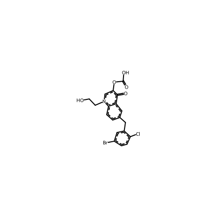 O=C(O)Oc1cn(CCO)c2ccc(Cc3cc(Br)ccc3Cl)cc2c1=O